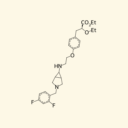 CCOC(=O)[C@H](Cc1ccc(OCCNC2C3CN(Cc4ccc(F)cc4F)CC32)cc1)OCC